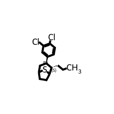 CCC[C@@H]1C2CCC(C[C@H]1c1ccc(Cl)c(Cl)c1)S2